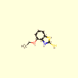 CCOc1cccc2sc(S)nc12